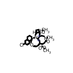 COC(=O)[C@H]1CC(=O)N(C)CCC2=C\[C@@H](OC)[C@@H]3CC[C@H]3CN3C[C@@]4(CCCc5cc(Cl)ccc54)COC=CC=C1\C=C\23